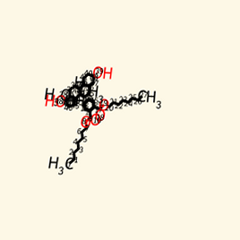 CCCCCCCCOC(=O)c1ccccc1C(=O)OCCCCCCCC.C[C@]12CC[C@H]3[C@@H](CCC4=C[C@@H](O)CC[C@@]43C)[C@@H]1CC[C@@H]2O